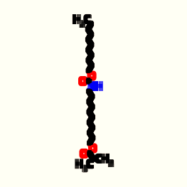 C=CCCCCCCCCCOC(=O)NCCCCCCCCCCCOC(=O)C(=C)C